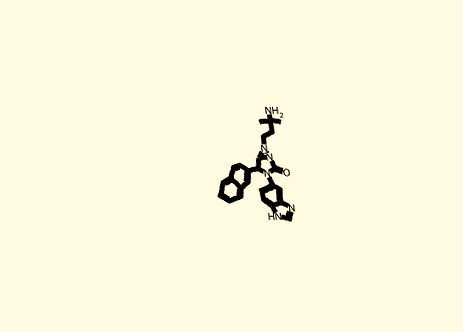 CC(C)(N)CCN1C2C(c3ccc4ccccc4c3)N(c3ccc4[nH]cnc4c3)C(=O)N21